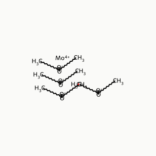 CCCCCCCCCCCCP(=O)([O-])CCCCCCCCCCCC.CCCCCCCCCCCCP(=O)([O-])CCCCCCCCCCCC.CCCCCCCCCCCCP(=O)([O-])CCCCCCCCCCCC.CCCCCCCCCCCCP(=O)([O-])CCCCCCCCCCCC.[Mo+4]